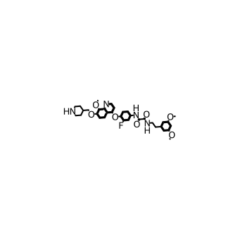 COc1cc(CCNC(=O)C(=O)Nc2ccc(Oc3ccnc4c(OC)c(OCC5CCNCC5)ccc34)c(F)c2)cc(OC)c1